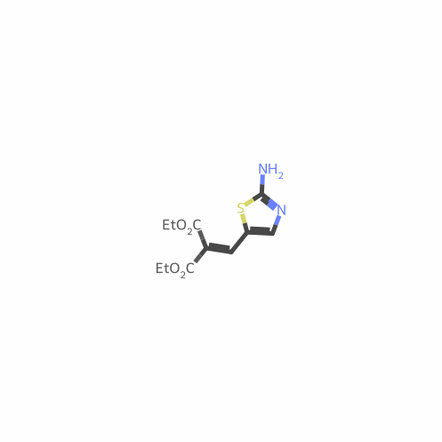 CCOC(=O)C(=Cc1cnc(N)s1)C(=O)OCC